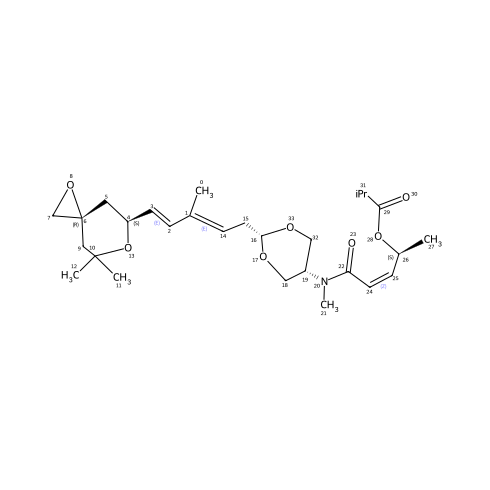 CC(/C=C/[C@@H]1C[C@]2(CO2)CC(C)(C)O1)=C\C[C@H]1OC[C@@H](N(C)C(=O)/C=C\[C@H](C)OC(=O)C(C)C)CO1